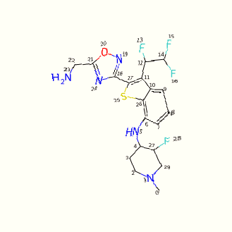 CN1CCC(Nc2cccc3c(C(F)C(F)F)c(-c4noc(CN)n4)sc23)C(F)C1